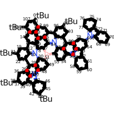 CC(C)(C)c1cc(-c2cc3c4c(c2)N(c2c(-c5ccccc5)cc(C(C)(C)C)cc2-c2ccccc2)c2cc(-n5c6ccc(C(C)(C)C)cc6c6cc(C(C)(C)C)ccc65)ccc2B4c2ccc(-n4c5ccccc5c5cc(-n6c7ccccc7c7ccccc76)ccc54)cc2N3c2c(-c3ccccc3)cc(C(C)(C)C)cc2-c2ccccc2)cc(C(C)(C)C)c1